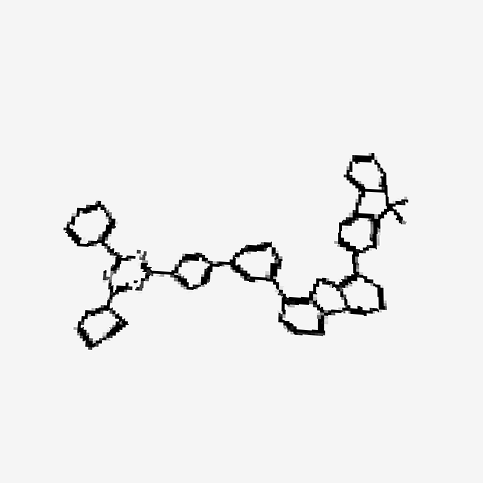 CC1(C)c2ccccc2-c2ccc(-c3cccc4c3Cc3c(-c5cccc(-c6ccc(-c7nc(-c8ccccc8)nc(-c8ccccc8)n7)cc6)c5)cccc3-4)cc21